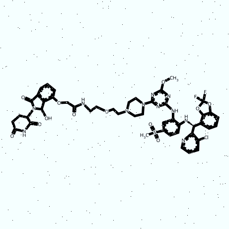 COc1nc(Nc2cc(S(C)(=O)=O)ccc2N[C@@H](c2cccc3c2OC(F)(F)O3)c2ncccc2Cl)nc(N2CCN(CCOCCNC(=O)COc3cccc4c3C(O)N(C3CCC(=O)NC3=O)C4=O)CC2)n1